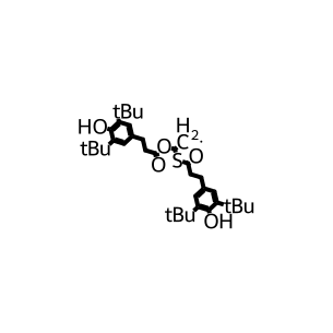 [CH2]C(OC(=O)CCc1cc(C(C)(C)C)c(O)c(C(C)(C)C)c1)SC(=O)CCc1cc(C(C)(C)C)c(O)c(C(C)(C)C)c1